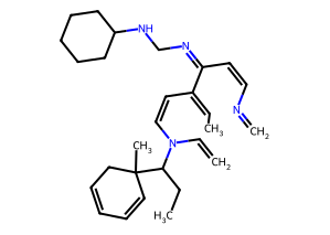 C=CN(\C=C/C(=C\C)C(/C=C\N=C)=N\CNC1CCCCC1)C(CC)C1(C)C=CC=CC1